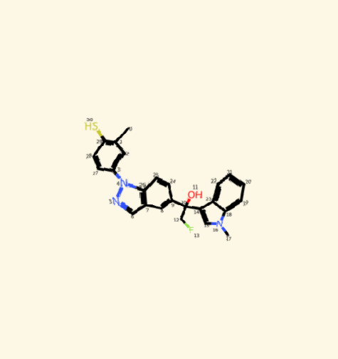 Cc1cc(-n2ncc3cc(C(O)(CF)c4cn(C)c5ccccc45)ccc32)ccc1S